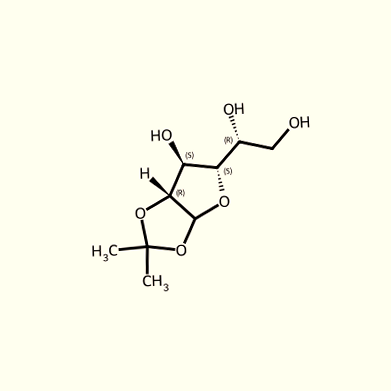 CC1(C)OC2O[C@@H]([C@H](O)CO)[C@H](O)[C@H]2O1